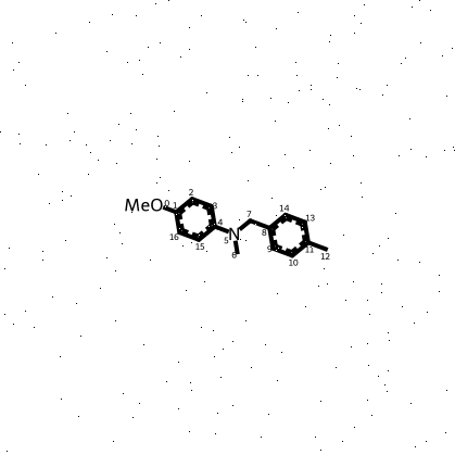 COc1ccc(N(C)Cc2ccc(C)cc2)cc1